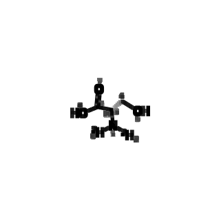 [2H]N([2H])[C@@H](CO)C(=O)O